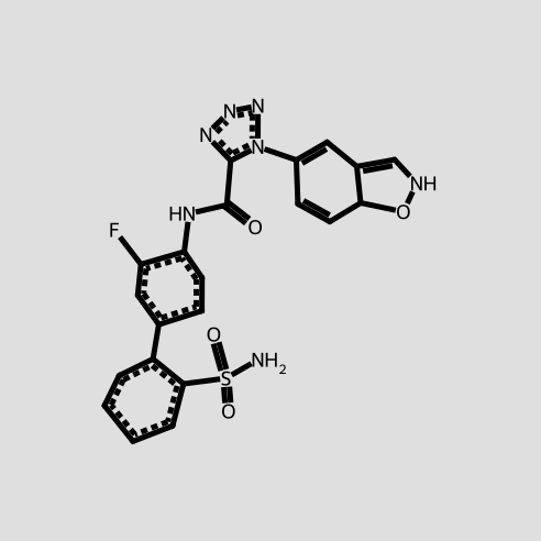 NS(=O)(=O)c1ccccc1-c1ccc(NC(=O)c2nnnn2C2=CC3=CNOC3C=C2)c(F)c1